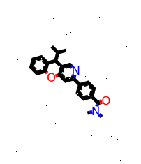 CC(C)C1c2ccccc2Oc2cc(-c3ccc(C(=O)N(C)C)cc3)ncc21